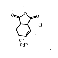 O=C1OC(=O)C2CCC=CC12.[Cl-].[Cl-].[Pd+2]